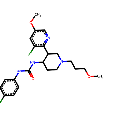 COCCCN1CCC(NC(=O)Nc2ccc(Cl)cc2)C(c2ncc(OC)cc2F)C1